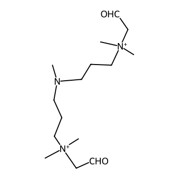 CN(CCC[N+](C)(C)CC=O)CCC[N+](C)(C)CC=O